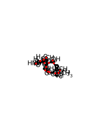 CCn1c(-c2cccnc2[C@H](C)OC)c2c3cc(ccc31)-c1cc(O)cc(c1)C[C@H](NC(=O)[C@H](C(C)C)N(C)C(=O)C1CN(S(=O)(=O)[C@H]3CN3)C1)C(=O)N1CCC[C@H](N1)C(=O)OCC(C)(C)C2